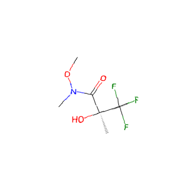 CON(C)C(=O)[C@](C)(O)C(F)(F)F